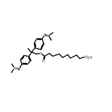 C[SiH](C)Oc1ccc(C(C)(COC(=O)CCCCCCCCC(=O)O)c2ccc(O[SiH](C)C)cc2)cc1